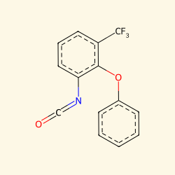 O=C=Nc1cccc(C(F)(F)F)c1Oc1ccccc1